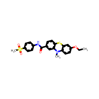 CCOc1ccc2c(c1)Sc1ccc(C(=O)Nc3ccc(S(C)(=O)=O)cc3)cc1N2C